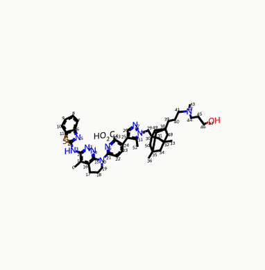 Cc1c(Nc2nc3ccccc3s2)nnc2c1CCCN2c1ccc(-c2cnn(CC34CC5(C)CC(C)(CC(CCCN(C)CCCO)(C5)C3)C4)c2C)c(C(=O)O)n1